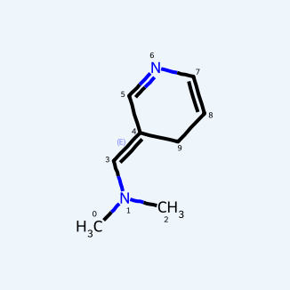 CN(C)/C=C1/C=NC=CC1